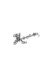 NOCCOCCOCCOCCN(CCO)c1nc(N2CCOCC2)nc(-n2c(C(F)F)nc3ccccc32)n1